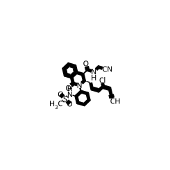 C#C/C=C(Cl)\C=C/C[C@H]1[C@H](C(=O)NCC#N)c2ccccc2C(=O)N1[C@H]1CCCC[C@@H]1NS(C)(=O)=O